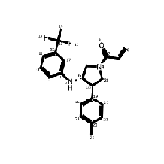 C=CC(=O)N1C[C@@H](Nc2cccc(C(C)(F)F)c2)[C@H](c2ccc(C)cc2)C1